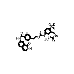 CN(Cc1cc(NC(=O)OCCc2ccc(C(Nc3ccc4cc[nH]c(=O)c4c3)C(=O)O)cc2)ccc1S(=O)(=O)I)C(=O)OC(C)(C)C